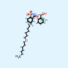 CCCCCCCOCCCCCCC.Cl.O=C1NS(=O)(=O)c2ccccc21.OCc1ccccc1